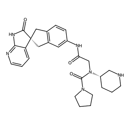 O=C(CN(C(=O)N1CCCC1)[C@H]1CCCNC1)Nc1ccc2c(c1)C[C@@]1(C2)C(=O)Nc2ncccc21